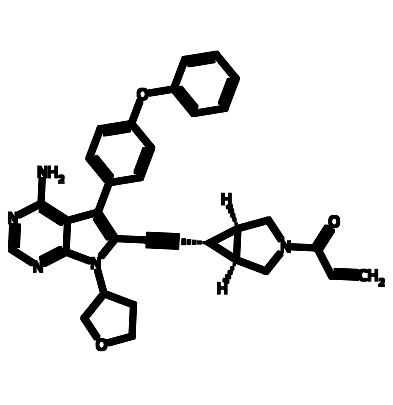 C=CC(=O)N1C[C@@H]2[C@@H](C#Cc3c(-c4ccc(Oc5ccccc5)cc4)c4c(N)ncnc4n3C3CCOC3)[C@@H]2C1